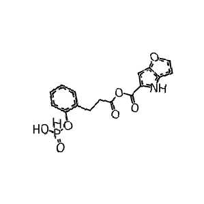 O=C(CCc1ccccc1O[PH](=O)O)OC(=O)c1cc2occc2[nH]1